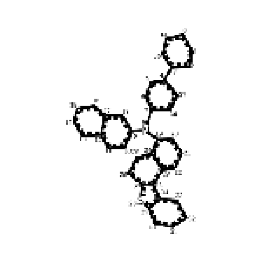 c1ccc(-c2ccc(N(c3ccc4ccccc4c3)c3cccc4c3ccc3sc5ccccc5c34)cc2)cc1